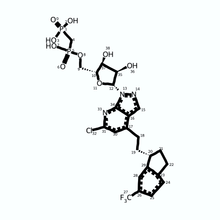 O=P(O)(O)CP(=O)(O)OC[C@H]1O[C@@H](n2ncc3c(CC[C@@H]4CCc5ccc(C(F)(F)F)cc54)cc(Cl)nc32)[C@H](O)[C@@H]1O